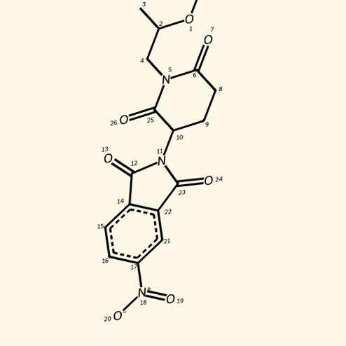 COC(C)CN1C(=O)CCC(N2C(=O)c3ccc([N+](=O)[O-])cc3C2=O)C1=O